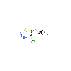 C=CCc1snnc1Cl